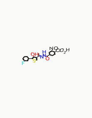 C/C(=N\NC(=O)c1ccc(C(=O)O)c([N+](=O)[O-])c1)c1csc(-c2cccc(F)c2)c1O